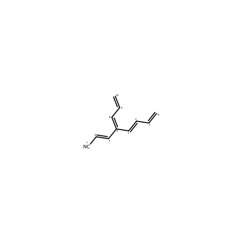 C=CC=CC(C=CC#N)=CC=C